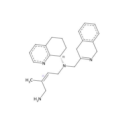 C/C(=C/CN(CC1=NCc2ccccc2C1)[C@H]1CCCc2cccnc21)CN